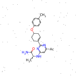 CC(=O)c1cc(N[C@@H](C)C(N)=O)nc(C2=CCC(Oc3ccc(C)cc3)CC2)n1